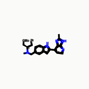 COC[C@@H](CC(C)C)N(C)Cc1ccc2[nH]c(-c3ccnc4[nH]c(C)nc34)cc2c1